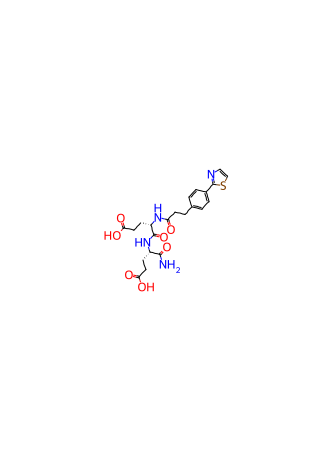 NC(=O)[C@H](CCC(=O)O)NC(=O)[C@H](CCC(=O)O)NC(=O)CCc1ccc(-c2nccs2)cc1